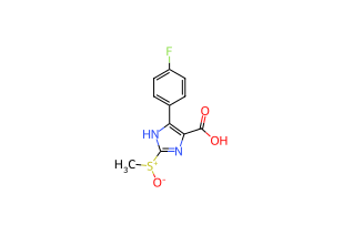 C[S+]([O-])c1nc(C(=O)O)c(-c2ccc(F)cc2)[nH]1